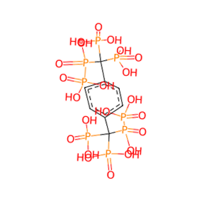 O=P(O)(O)C(c1ccc(C(P(=O)(O)O)(P(=O)(O)O)P(=O)(O)P(=O)(O)O)cc1)(P(=O)(O)O)P(=O)(O)P(=O)(O)O